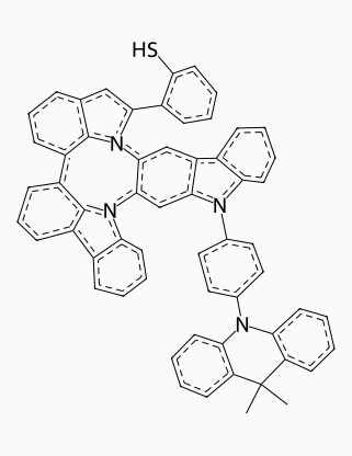 CC1(C)c2ccccc2N(c2ccc(-n3c4ccccc4c4cc5c(cc43)n3c4ccccc4c4cccc(c6cccc7cc(-c8ccccc8S)n5c76)c43)cc2)c2ccccc21